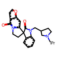 CC(C)N1CCC(CN2C(=O)C3(CCn4c3cc3occc3c4=O)c3ccccc32)C1